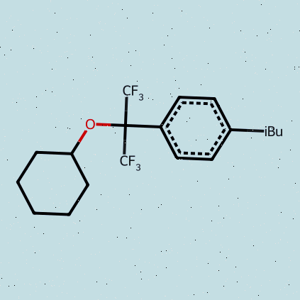 CCC(C)c1ccc(C(OC2CCCCC2)(C(F)(F)F)C(F)(F)F)cc1